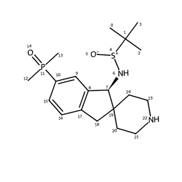 CC(C)(C)[S+]([O-])N[C@@H]1c2cc(P(C)(C)=O)ccc2CC12CCNCC2